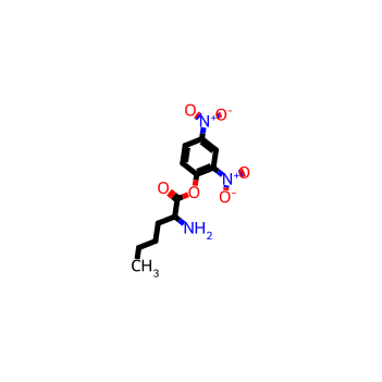 CCCCC(N)C(=O)Oc1ccc([N+](=O)[O-])cc1[N+](=O)[O-]